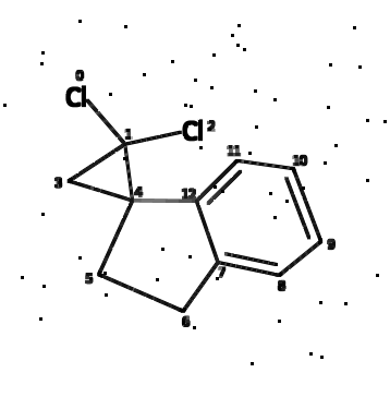 ClC1(Cl)CC12CCc1ccccc12